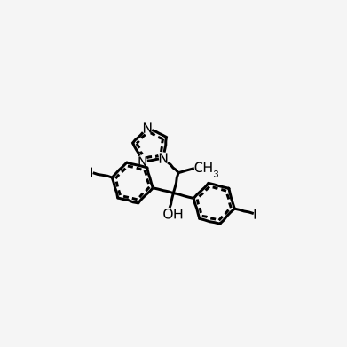 CC(n1cncn1)C(O)(c1ccc(I)cc1)c1ccc(I)cc1